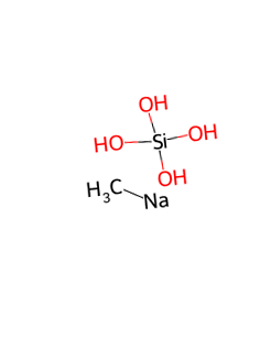 O[Si](O)(O)O.[CH3][Na]